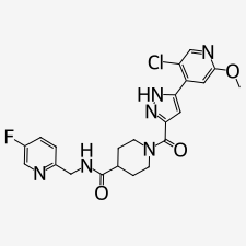 COc1cc(-c2cc(C(=O)N3CCC(C(=O)NCc4ccc(F)cn4)CC3)n[nH]2)c(Cl)cn1